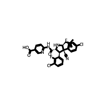 C=C(C)C[C@@H]1N[C@@H](C(=O)Nc2ccc(C(=O)O)cn2)[C@H](c2cccc(Cl)c2F)[C@@]1(C#N)c1ccc(Cl)cc1F